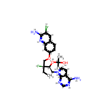 CC[C@](F)(COc1ccc2cc(Br)c(N)nc2c1)[C@H](Cn1ccc2c(N)ncnc21)OC(C)(C)O